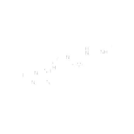 COc1nc(-c2cccc(-c3cccc(Nc4nc(C(C)C)nc5cccnc45)c3C)c2Cl)ccc1CNCC1CCC(=O)N1